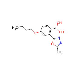 CCCCOc1ccc(B(O)O)c(-c2nnc(C)o2)c1